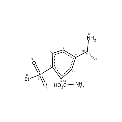 CCS(=O)(=O)c1ccc([C@@H](C)N)cc1.NC(=O)O